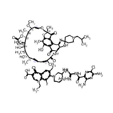 CCn1cc(C(=O)O)c(=O)c2cc(F)c(N3CCNC(C)C3)c(F)c21.CO[C@H]1/C=C/O[C@@]2(C)Oc3c(C)c(O)c4c(c3C2=O)C2=NC3(CCN(CC(C)C)CC3)NC2=C(NC(=O)/C(C)=C\C=C\[C@H](C)[C@H](O)[C@@H](C)[C@@H](O)[C@@H](C)[C@H](OC(C)=O)[C@@H]1C)C4=O.N=C(N)NC(=O)c1nc(Cl)c(N)nc1N